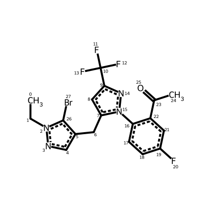 CCn1ncc(Cc2cc(C(F)(F)F)nn2-c2ccc(F)cc2C(C)=O)c1Br